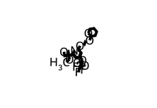 COC1(c2cc(OS(=O)(=O)C(F)(F)F)cc(OCCOC3CCCCO3)n2)COC1